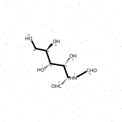 O=CN[C@H](C=O)[C@@H](O)[C@H](O)[C@H](O)CO